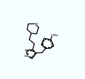 COc1ccc(Cc2c[nH]nc2CCC2CCNCC2)cc1